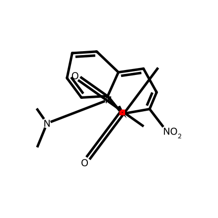 CN(C)N1C(=O)CC2C([N+](=O)[O-])=CC=C3C=CC=CC32C1=O